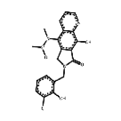 CN(c1c2c(c(O)c3ncccc13)C(=O)N(Cc1cccc(Cl)c1O)C2)[S+](C)[O-]